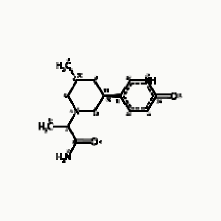 CC(C(N)=O)N1C[C@H](C)C[C@@H](c2ccc(=O)[nH]c2)C1